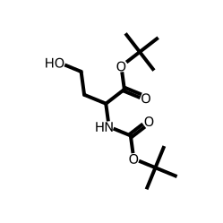 CC(C)(C)OC(=O)NC(CCO)C(=O)OC(C)(C)C